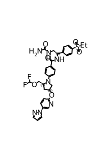 CCS(=O)(=O)c1ccc([C@H](CNC(N)=O)NC(=O)c2ccc(N3C[C@@H](Oc4ccc(-n5cccn5)cn4)C[C@H]3COC(F)F)cc2)cc1